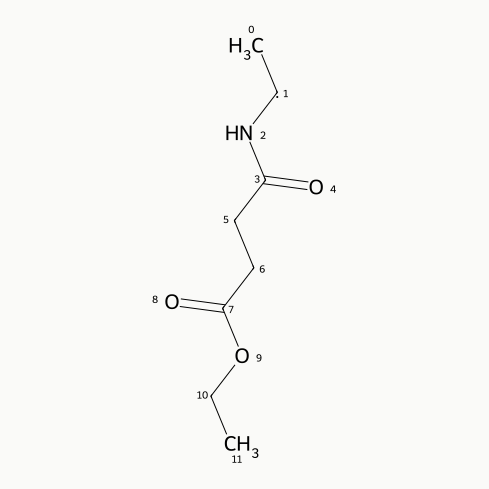 C[CH]NC(=O)CCC(=O)OCC